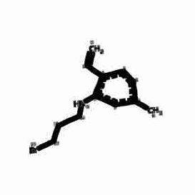 C=Cc1ccc(C)cc1NCCCBr